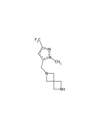 Cn1nc(C(F)(F)F)cc1CN1CC2(CNC2)C1